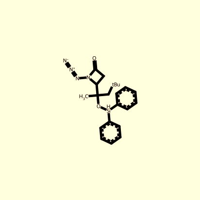 CC(C)(C)CC(C)(O[SiH](c1ccccc1)c1ccccc1)C1CC(=O)N1N=[N+]=[N-]